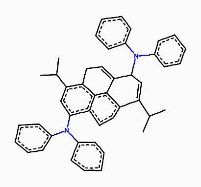 CC(C)C1=CC(N(c2ccccc2)c2ccccc2)C2=CCc3c(C(C)C)cc(N(c4ccccc4)c4ccccc4)c4ccc1c2c34